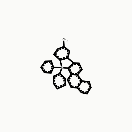 Cc1ccc2c(c1)-c1ccc3c(ccc4ccccc43)c1[Si]2(c1ccccc1)c1ccccc1